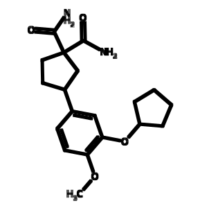 COc1ccc(C2CCC(C(N)=O)(C(N)=O)C2)cc1OC1CCCC1